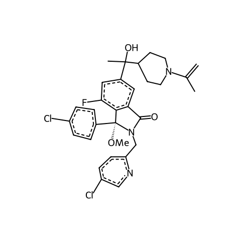 C=C(C)N1CCC(C(C)(O)c2cc(F)c3c(c2)C(=O)N(Cc2ccc(Cl)cn2)[C@@]3(OC)c2ccc(Cl)cc2)CC1